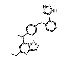 CCc1cc(N(C)c2ccc(Oc3ccccc3-c3nnn[nH]3)cc2)n2nccc2n1